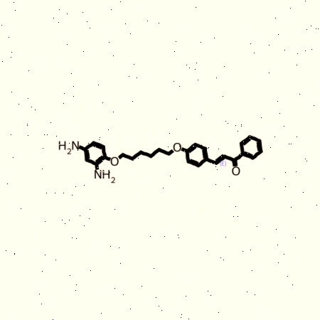 Nc1ccc(OCCCCCCOc2ccc(/C=C/C(=O)c3ccccc3)cc2)c(N)c1